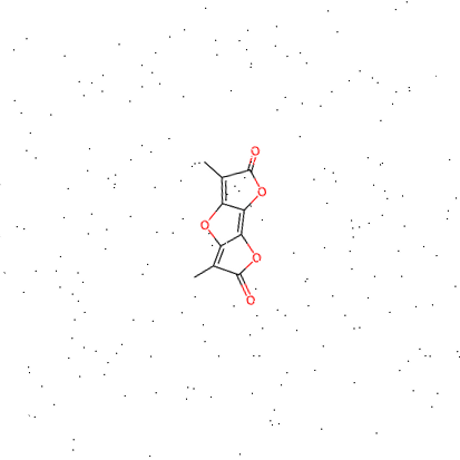 CC1=c2oc3c(c2OC1=O)OC(=O)C=3C